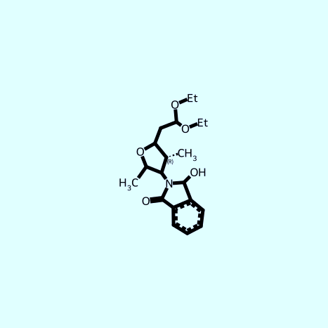 CCOC(CC1OC(C)C(N2C(=O)c3ccccc3C2O)[C@H]1C)OCC